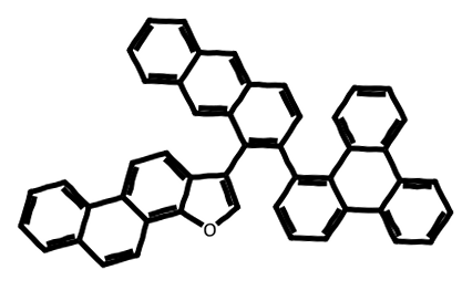 c1ccc2cc3c(-c4coc5c4ccc4c6ccccc6ccc45)c(-c4cccc5c6ccccc6c6ccccc6c45)ccc3cc2c1